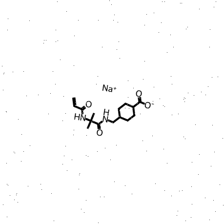 C=CC(=O)NC(C)(C)C(=O)NCC1CCC(C(=O)[O-])CC1.[Na+]